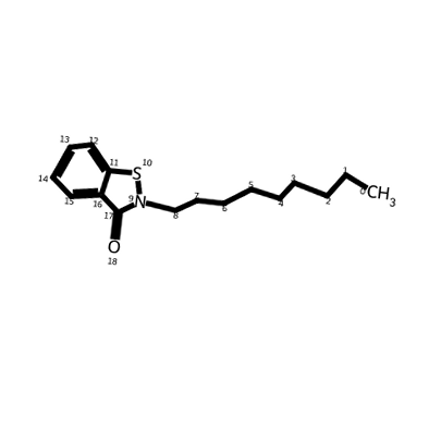 CCCCCCCCCn1sc2ccccc2c1=O